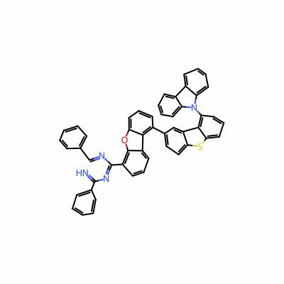 N=C(/N=C(\N=C\c1ccccc1)c1cccc2c1oc1cccc(-c3ccc4sc5cccc(-n6c7ccccc7c7ccccc76)c5c4c3)c12)c1ccccc1